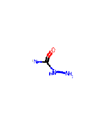 [N]C(=O)NN